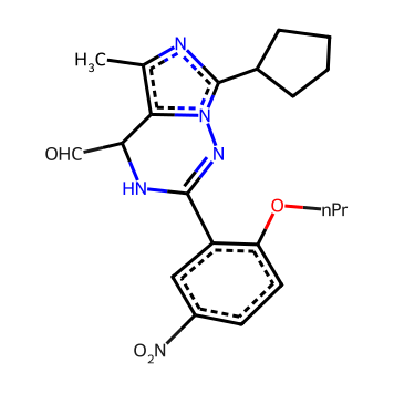 CCCOc1ccc([N+](=O)[O-])cc1C1=Nn2c(C3CCCC3)nc(C)c2C(C=O)N1